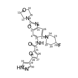 O=C(Nc1cc2oc(N3CCOCC3)nc2cc1N1CCC(F)CC1)c1ccc(-c2cn[nH]c2)o1